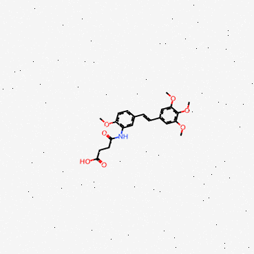 COc1ccc(C=Cc2cc(OC)c(OC)c(OC)c2)cc1NC(=O)CCC(=O)O